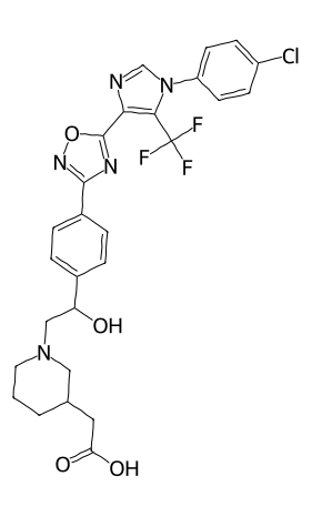 O=C(O)CC1CCCN(CC(O)c2ccc(-c3noc(-c4ncn(-c5ccc(Cl)cc5)c4C(F)(F)F)n3)cc2)C1